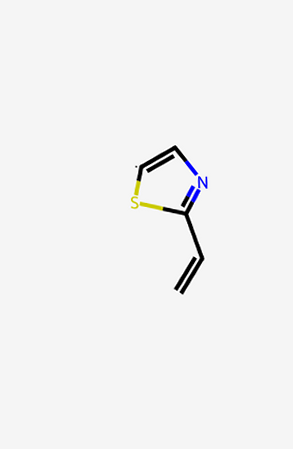 C=Cc1nc[c]s1